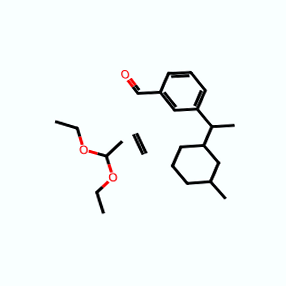 C=C.CC1CCCC(C(C)c2cccc(C=O)c2)C1.CCOC(C)OCC